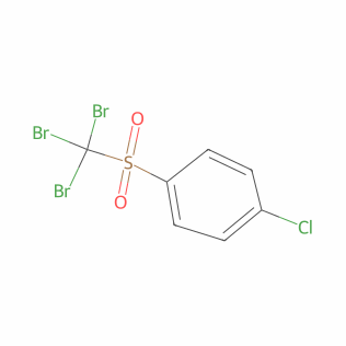 O=S(=O)(c1ccc(Cl)cc1)C(Br)(Br)Br